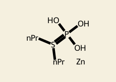 CCCS(CCC)=P(O)(O)O.[Zn]